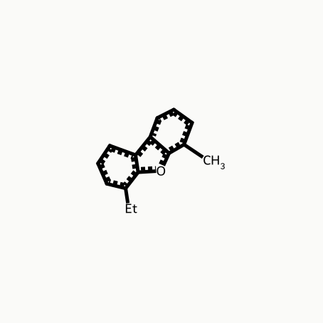 CCc1cccc2c1oc1c(C)cccc12